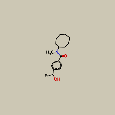 CCC(O)c1ccc(C(=O)N(C)C2CCCCCCC2)cc1